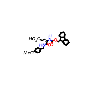 COc1ccc(CNC(=O)[C@H](CCC(=O)O)NC(=O)OCC2c3ccccc3-c3ccccc32)cc1